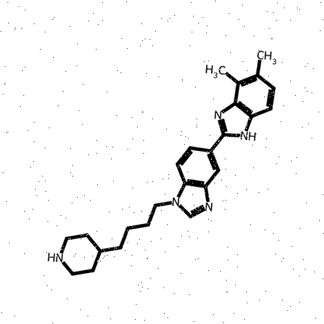 Cc1ccc2[nH]c(-c3ccc4c(c3)ncn4CCCCC3CCNCC3)nc2c1C